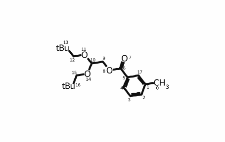 Cc1cccc(C(=O)OCC(OCC(C)(C)C)OCC(C)(C)C)c1